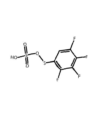 O=S(=O)(O)OSc1cc(F)c(F)c(F)c1F